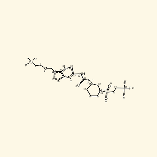 C[Si](C)(C)CCOCn1ccc2nc(NC(=O)NC3CCCN(S(=O)(=O)CCC(F)(F)F)C3)cnc21